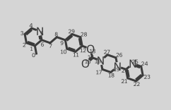 Cc1cccnc1CCc1ccc(OC(=O)N2CCN(c3ccccn3)CC2)cc1